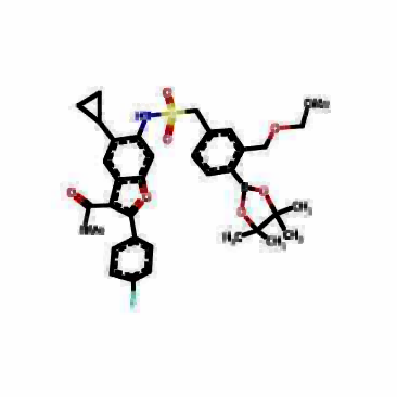 CNC(=O)c1c(-c2ccc(F)cc2)oc2cc(NS(=O)(=O)Cc3ccc(B4OC(C)(C)C(C)(C)O4)c(COCOC)c3)c(C3CC3)cc12